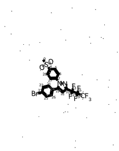 CS(=O)(=O)c1ccc(-n2nc(C(F)(F)C(F)(F)C(F)(F)F)cc2-c2ccc(Br)cc2)cc1